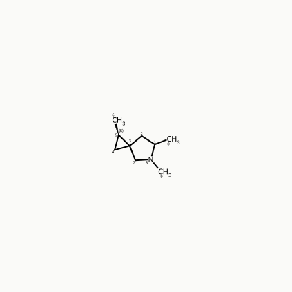 CC1CC2(C[C@H]2C)CN1C